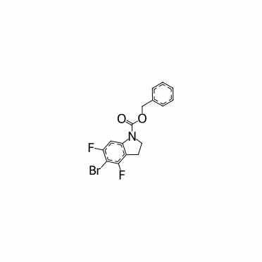 O=C(OCc1ccccc1)N1CCc2c1cc(F)c(Br)c2F